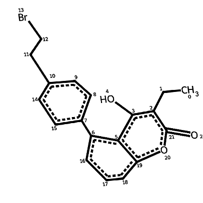 CCc1c(O)c2c(-c3ccc(CCBr)cc3)cccc2oc1=O